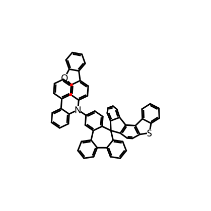 c1ccc(-c2ccccc2N(c2ccc3c(c2)-c2ccccc2-c2ccccc2C32c3ccccc3-c3c2ccc2sc4ccccc4c32)c2ccc3c(c2)oc2ccccc23)cc1